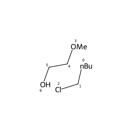 CCCCCCl.COCCO